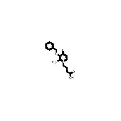 Cc1c(OCc2ccccc2)c(=O)ccn1CCCC(=O)O